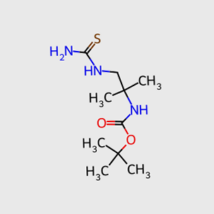 CC(C)(CNC(N)=S)NC(=O)OC(C)(C)C